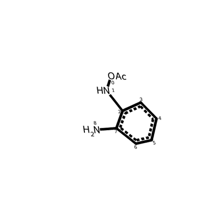 CC(=O)ONc1ccccc1N